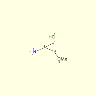 COC1CC1N.Cl